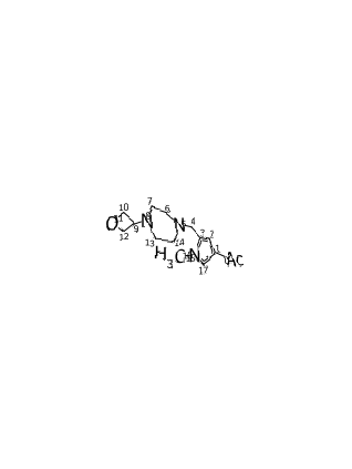 CC(=O)c1cc(CN2CCN(C3COC3)CC2)n(C)c1